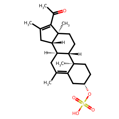 CC(=O)C1=C(C)C[C@H]2[C@@H]3CC(C)=C4C[C@@H](OS(=O)(=O)O)CC[C@]4(C)[C@H]3CC[C@]12C